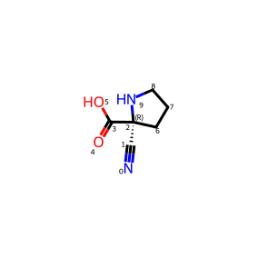 N#C[C@@]1(C(=O)O)CCCN1